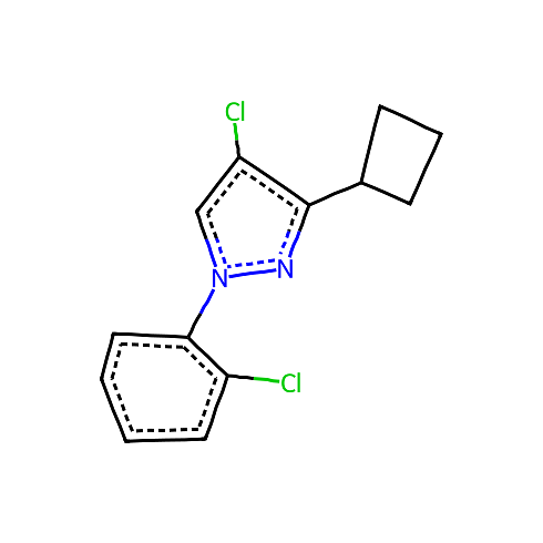 Clc1ccccc1-n1cc(Cl)c(C2CCC2)n1